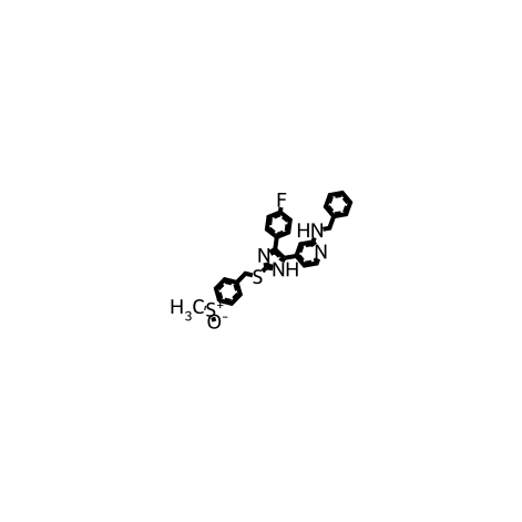 C[S+]([O-])c1ccc(CSc2nc(-c3ccc(F)cc3)c(-c3ccnc(NCc4ccccc4)c3)[nH]2)cc1